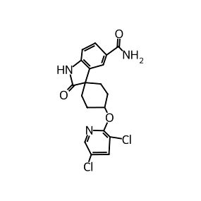 NC(=O)c1ccc2c(c1)C1(CCC(Oc3ncc(Cl)cc3Cl)CC1)C(=O)N2